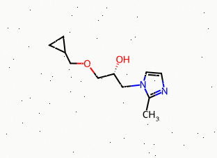 Cc1nccn1C[C@@H](O)COCC1CC1